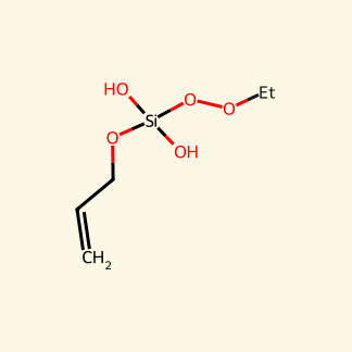 C=CCO[Si](O)(O)OOCC